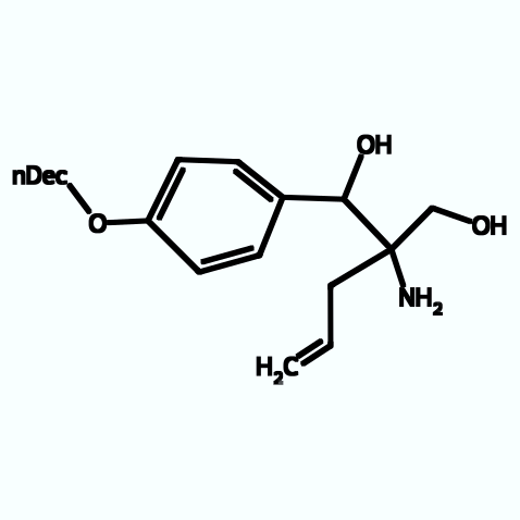 C=CCC(N)(CO)C(O)c1ccc(OCCCCCCCCCC)cc1